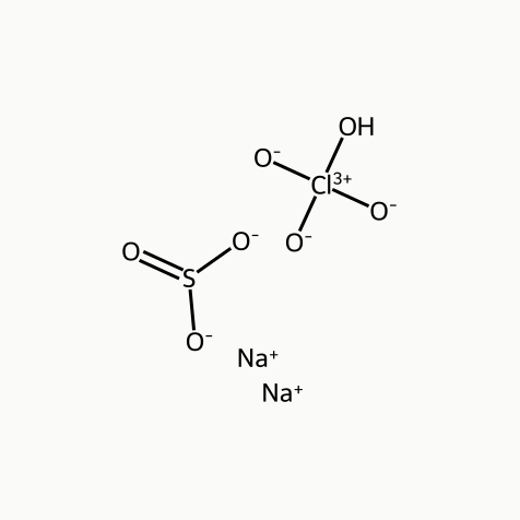 O=S([O-])[O-].[Na+].[Na+].[O-][Cl+3]([O-])([O-])O